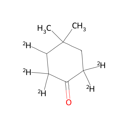 [2H]C1C(C)(C)CC([2H])([2H])C(=O)C1([2H])[2H]